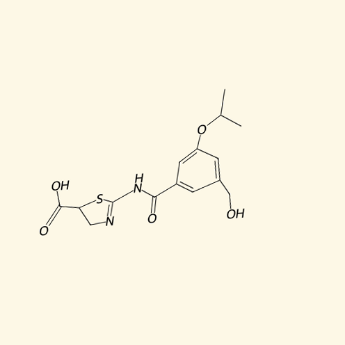 CC(C)Oc1cc(CO)cc(C(=O)NC2=NCC(C(=O)O)S2)c1